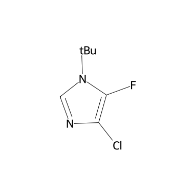 CC(C)(C)n1cnc(Cl)c1F